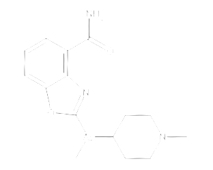 CN1CCC([As](C)c2nc3c(C(N)=O)[c]ccc3o2)CC1